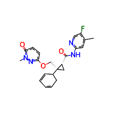 Cc1cc(NC(=O)[C@@H]2C[C@@]2(COc2ccc(=O)n(C)n2)C2C=CC=CC2)ncc1F